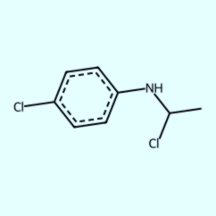 CC(Cl)Nc1ccc(Cl)cc1